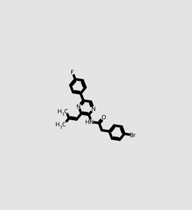 CC(C)=Cc1nc(-c2ccc(F)cc2)cnc1NC(=O)Cc1ccc(Br)cc1